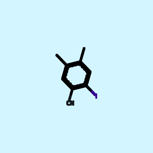 Cc1cc(I)c(C#N)cc1C